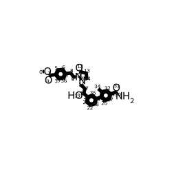 COC(=O)c1ccc(CCN2C(=O)CCN2CCC(O)c2cccc(-c3ccc(C(N)=O)cc3C)c2)cc1